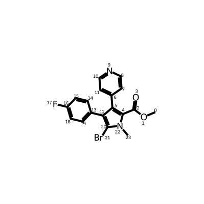 COC(=O)c1c(-c2ccncc2)c(-c2ccc(F)cc2)c(Br)n1C